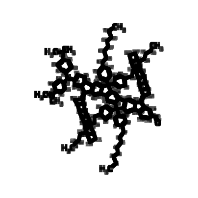 CCCCCCCCc1ccc(C2(c3ccc(CCCCCCCC)cc3)c3cc4c(cc3-c3cc5c(cc32)-c2cc3c(cc2C5(c2ccc(CCCCCCCC)cc2)c2ccc(CCCCCCCC)cc2)-c2ccc(N(c5ccc(N(C)C)cc5)c5ccc(N(C)C)cc5)cc2/C3=C2\CC3C2C2C3C3C5C6C7CCC7C6C5C23)/C(=C2/CC3C2C2C3C3C5C6C7CCC7C6C5C23)c2cc(C=O)ccc2-4)cc1